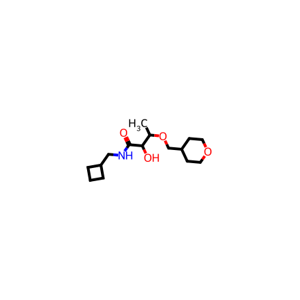 CC(OCC1CCOCC1)C(O)C(=O)NCC1CCC1